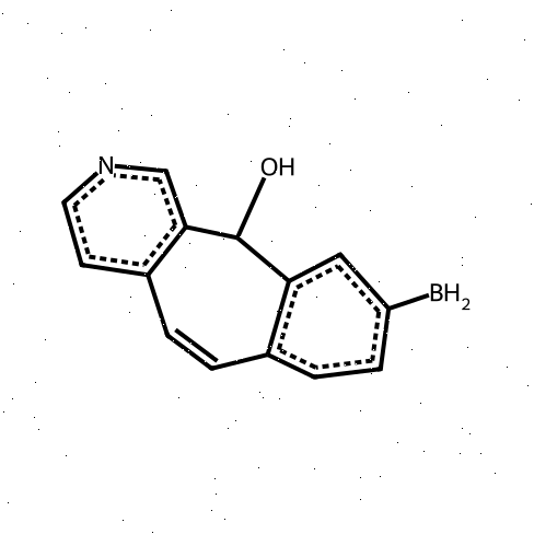 Bc1ccc2c(c1)C(O)c1cnccc1C=C2